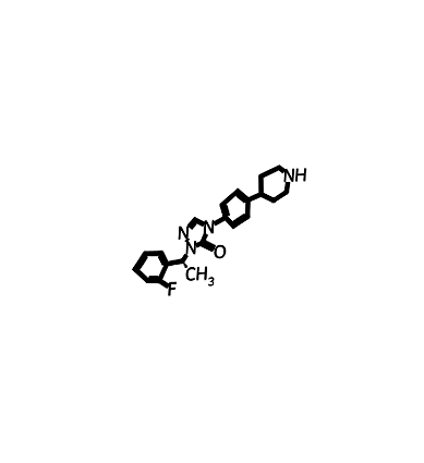 C[C@H](c1ccccc1F)n1ncn(-c2ccc(C3CCNCC3)cc2)c1=O